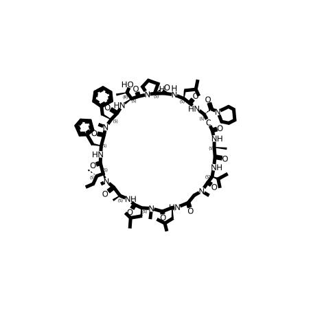 CC[C@H](C)[C@H]1C(=O)N[C@@H](Cc2ccccc2)C(=O)N(C)[C@@H](Cc2ccccc2)C(=O)N[C@@H]([C@@H](C)O)C(=O)N2CCC[C@H]2C(=O)N[C@@H](CC(C)C)C(=O)N[C@H](C(=O)N2CCCCC2)CC(=O)N[C@@H](C)C(=O)N[C@@H](C(C)C)C(=O)N(C)CC(=O)N[C@@H](CC(C)C)C(=O)N(C)[C@@H](CC(C)C)C(=O)N[C@@H](C)C(=O)N1C